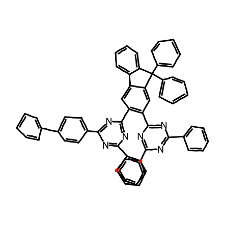 c1ccc(-c2ccc(-c3nc(-c4ccccc4)nc(-c4cc5c(cc4-c4nc(-c6ccccc6)nc(-c6ccccc6)n4)C(c4ccccc4)(c4ccccc4)c4ccccc4-5)n3)cc2)cc1